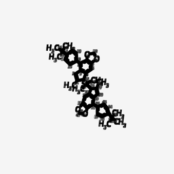 CC1=Cc2c(cc3c(c2-c2ccc(C(C)(C)C)cc2)OCO3)C1[Si](C)(C)C1C(C)=Cc2c1cc1c(c2-c2ccc(C(C)(C)C)cc2)OCO1